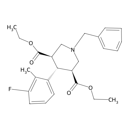 CCOC(=O)[C@H]1CN(Cc2ccccc2)C[C@@H](C(=O)OCC)[C@@H]1c1cccc(F)c1C